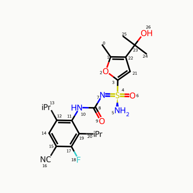 Cc1oc([S@](N)(=O)=NC(=O)Nc2c(C(C)C)cc(C#N)c(F)c2C(C)C)cc1C(C)(C)O